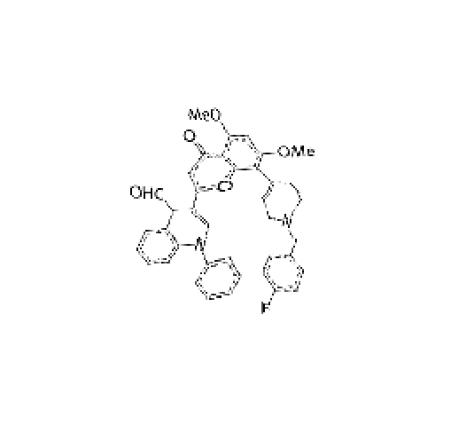 COc1cc(OC)c2c(=O)cc(C3=CN(c4ccccc4)c4ccccc4C3C=O)oc2c1C1=CCN(Cc2ccc(F)cc2)CC1